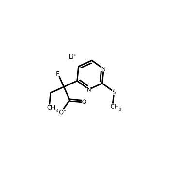 CCC(F)(C(=O)[O-])c1ccnc(SC)n1.[Li+]